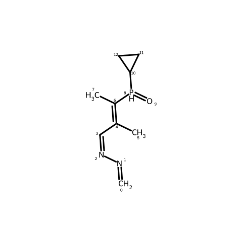 C=N/N=C\C(C)=C(/C)[PH](=O)C1CC1